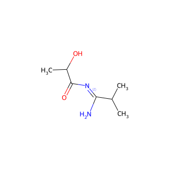 CC(O)C(=O)/N=C(\N)C(C)C